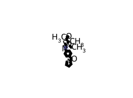 CCn1c(C)c(C(C)=O)s/c1=N/c1ccc(C(=O)N2CCCC2)cc1